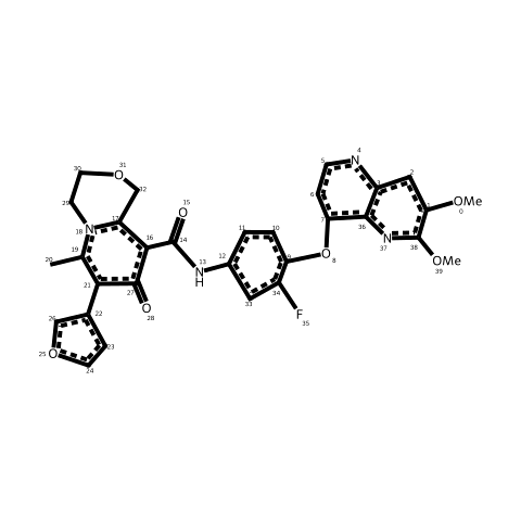 COc1cc2nccc(Oc3ccc(NC(=O)c4c5n(c(C)c(-c6ccoc6)c4=O)CCOC5)cc3F)c2nc1OC